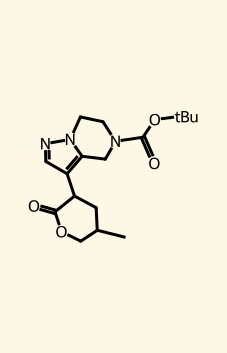 CC1COC(=O)C(c2cnn3c2CN(C(=O)OC(C)(C)C)CC3)C1